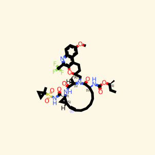 CC[C@H](C)OC(=O)N[C@H]1CCCCC/C=C\[C@@H]2C[C@@]2(C(=O)NS(=O)(=O)C2(C)CC2)NC(=O)[C@@H]2C[C@]3(CCc4c(c(C(F)(F)F)nc5ccc(OC)cc45)O3)CN2C1=O